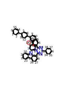 c1ccc(-c2ccc(-c3cccc4c3oc3cc(-n5c6ccccc6c6cccc(-c7nc(-c8ccccc8)nc(-c8ccccc8)n7)c65)ccc34)cc2)cc1